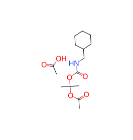 CC(=O)O.CC(=O)OC(C)(C)OC(=O)NCC1CCCCC1